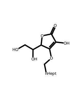 CCCCCCCCOC1=C(O)C(=O)OC1C(O)CO